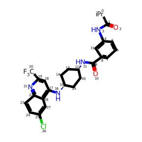 CC(C)C(=O)Nc1cccc(C(=O)N[C@H]2CC[C@@H](Nc3cc(C(F)(F)F)nc4ccc(Cl)cc34)CC2)c1